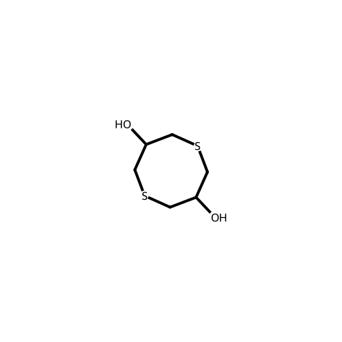 OC1CSCC(O)CSC1